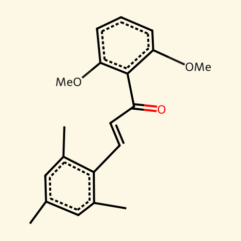 COc1cccc(OC)c1C(=O)C=Cc1c(C)cc(C)cc1C